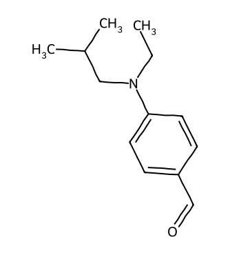 CCN(CC(C)C)c1ccc(C=O)cc1